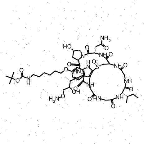 CCC(C)[C@@H]1NC(=O)CNC(=O)C2Cc3c([nH]c4cc(OCCCCCCNC(=O)OC(C)(C)C)ccc34)[S+]([O-])CC(NC(=O)CNC1=O)C(=O)N[C@@H](CC(N)=O)C(=O)N1C[C@H](O)CC1C(=O)N[C@@H]([C@@H](C)C(O)CON)C(=O)N2